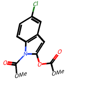 COC(=O)Oc1cc2cc(Cl)ccc2n1C(=O)OC